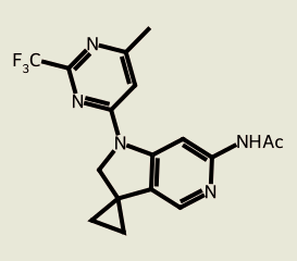 CC(=O)Nc1cc2c(cn1)C1(CC1)CN2c1cc(C)nc(C(F)(F)F)n1